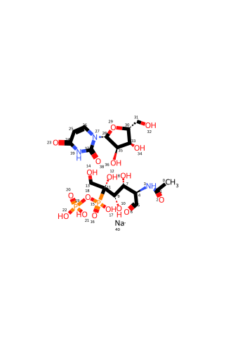 CC(=O)N[C@@H](C=O)[C@@H](O)[C@H](O)[C@](O)(CO)P(=O)(O)OP(=O)(O)O.O=c1ccn([C@@H]2O[C@H](CO)[C@@H](O)[C@H]2O)c(=O)[nH]1.[Na]